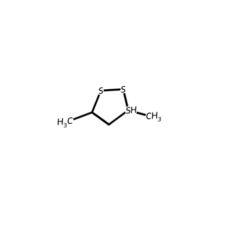 CC1C[SH](C)SS1